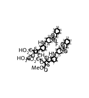 COC(=O)c1sc(-c2cccc(NC3CCN(S(=O)(=O)Cc4ccccc4C(F)(F)F)CC3)c2)c(C)c1OCC(=O)O.Cc1c(-c2cccc(NC3CCN(S(=O)(=O)Cc4ccccc4)CC3)c2)sc(C(=O)O)c1OCC(=O)O